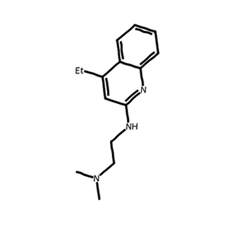 CCc1cc(NCCN(C)C)nc2ccccc12